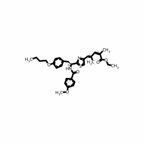 CCCCOc1ccc(C[C@H](NC(=O)c2ccc(OC)cc2)c2nc(/C=C(C)/C=C(/C)C(=O)OCC)cs2)cc1